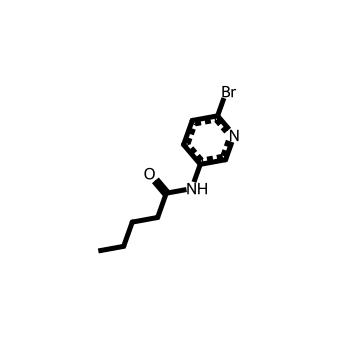 CCCCC(=O)Nc1ccc(Br)nc1